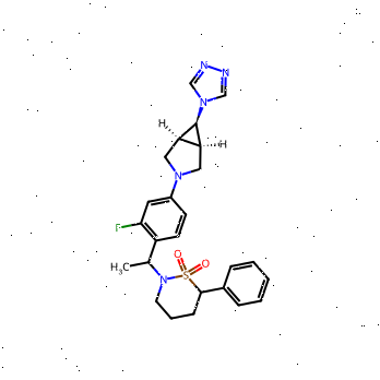 CC(c1ccc(N2C[C@@H]3[C@H](C2)[C@@H]3n2cnnc2)cc1F)N1CCCC(c2ccccc2)S1(=O)=O